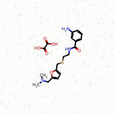 CN(C)Cc1ccc(CSCCNC(=O)c2cccc(N)c2)o1.O=C(O)C(=O)O